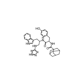 O=C(NC(CNc1nn[nH]n1)Cc1c[nH]c2ccccc12)C(Cc1ccc(O)cc1)NC(=O)C12CC3CC(CC(C3)C1)C2